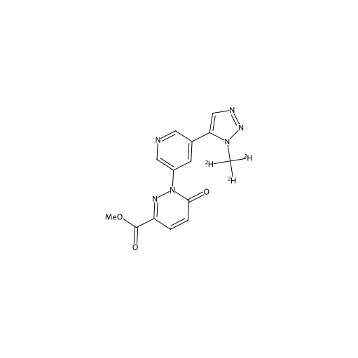 [2H]C([2H])([2H])n1nncc1-c1cncc(-n2nc(C(=O)OC)ccc2=O)c1